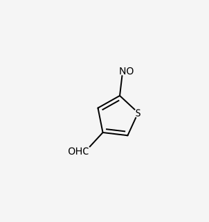 O=Cc1csc(N=O)c1